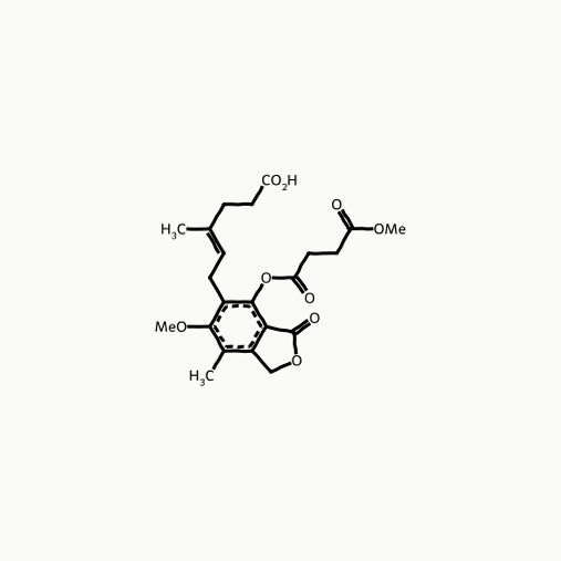 COC(=O)CCC(=O)Oc1c(C/C=C(\C)CCC(=O)O)c(OC)c(C)c2c1C(=O)OC2